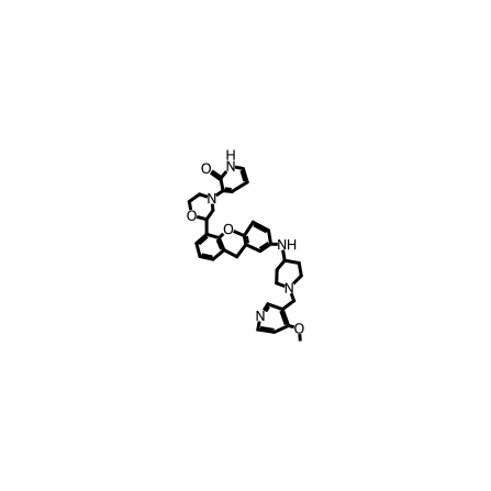 COc1ccncc1CN1CCC(Nc2ccc3c(c2)Cc2cccc(C4CN(c5ccc[nH]c5=O)CCO4)c2O3)CC1